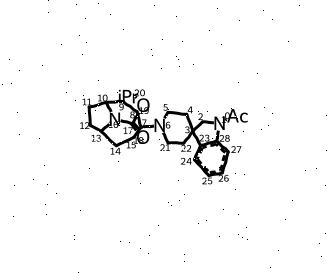 CC(=O)N1CC2(CCN(C3CCC4CCC(CC3)N4C(=O)OC(C)C)CC2)c2ccccc21